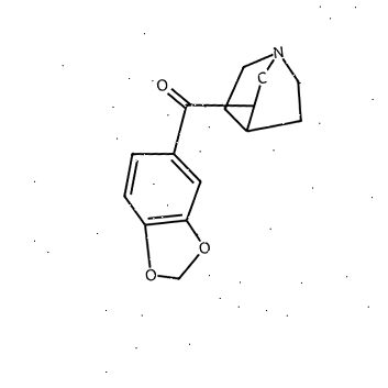 O=C(c1ccc2c(c1)OCO2)C1CN2CCC1CC2